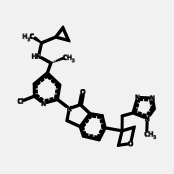 C[C@H](N[C@H](C)c1cc(Cl)nc(N2Cc3ccc(C4(Cc5nncn5C)COC4)cc3C2=O)c1)C1CC1